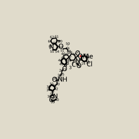 COC(=O)C1(N(C(=O)C(F)(F)F)c2cccc(Cl)c2)CCC2(CC1)c1cc(OCCCNC(=O)Cc3cccc(-c4ccccn4)c3)ccc1C[C@@H]2C[C@@H](C)COc1ccnc2c1[C@H](C)CCC2